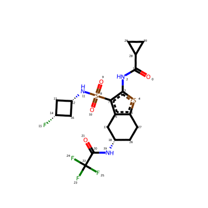 O=C(Nc1sc2c(c1S(=O)(=O)N[C@H]1C[C@@H](F)C1)C[C@@H](NC(=O)C(F)(F)F)CC2)C1CC1